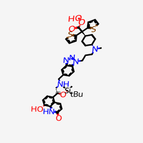 CN(CCCn1nnc2cc(CNC[C@H](O[Si](C)(C)C(C)(C)C)c3ccc(O)c4[nH]c(=O)ccc34)ccc21)[C@H]1CC[C@H](C(C(=O)OO)(c2cccs2)c2cccs2)CC1